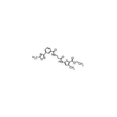 CCOC(=O)c1sc(NC(=O)CCNC(=O)c2cccc(-c3noc(C)n3)c2)cc1C